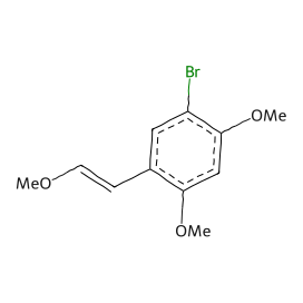 CO/C=C/c1cc(Br)c(OC)cc1OC